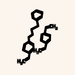 C=Cc1ccc(C=C)cc1.C=Cc1ccc(CCCCc2ccccc2)cc1